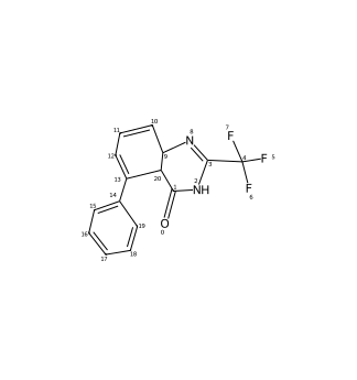 O=C1NC(C(F)(F)F)=NC2C=CC=C(c3ccccc3)C12